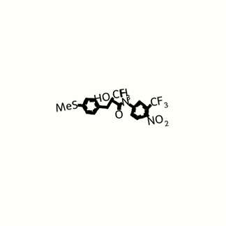 CSc1ccc(CC(O)(C(=O)Nc2ccc([N+](=O)[O-])c(C(F)(F)F)c2)C(F)(F)F)cc1